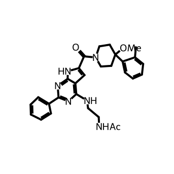 COC1(c2ccccc2C)CCN(C(=O)c2cc3c(NCCNC(C)=O)nc(-c4ccccc4)nc3[nH]2)CC1